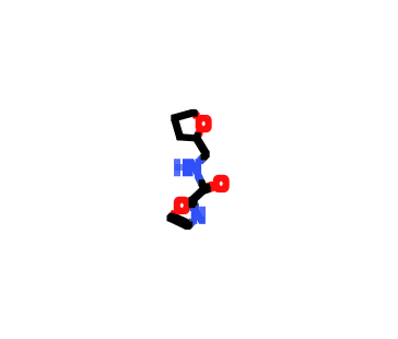 O=C(NCC1CCCO1)c1ncco1